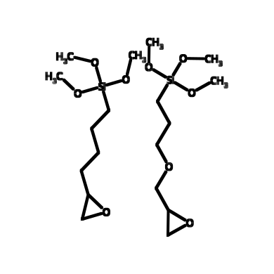 CO[Si](CCCCC1CO1)(OC)OC.CO[Si](CCCOCC1CO1)(OC)OC